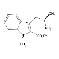 CCOC(=O)c1c(C[C@@H](C)N)c2ccccc2n1C